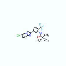 CC(C)(C)C(=O)Nc1cc(-c2cn3cc(Cl)ccc3n2)ccc1C(F)(F)F